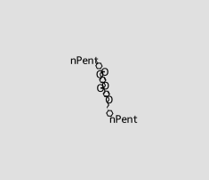 CCCCC[C@H]1CC[C@H](CCCOc2ccc(C(=O)Oc3ccc(OC(=O)[C@H]4CC[C@H](CCCCC)CC4)cc3)cc2)CC1